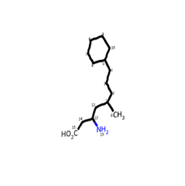 CC(CCCC1CCCCC1)CC(N)CC(=O)O